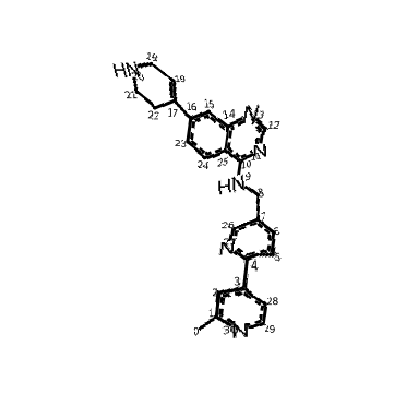 Cc1cc(-c2ccc(CNc3ncnc4cc(C5=CCNCC5)ccc34)cn2)ccn1